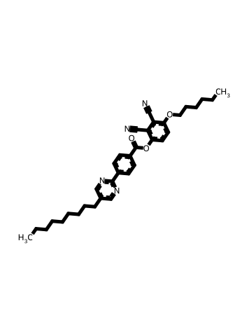 CCCCCCCCCc1cnc(-c2ccc(C(=O)Oc3ccc(OCCCCCC)c(C#N)c3C#N)cc2)nc1